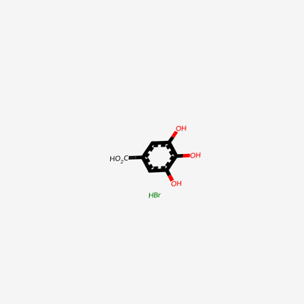 Br.O=C(O)c1cc(O)c(O)c(O)c1